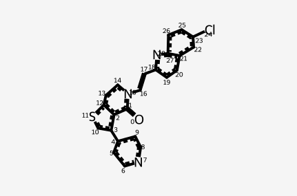 O=c1c2c(-c3ccncc3)csc2ccn1/C=C/c1ccc2cc(Cl)ccc2n1